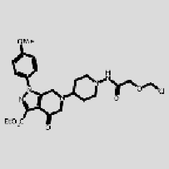 CCOC(=O)c1nn(-c2ccc(OC)cc2)c2c1C(=O)CN(C1CCN(NC(=O)COCCl)CC1)C2